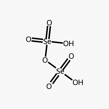 O=[Se](=O)(O)O[Se](=O)(=O)O